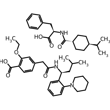 CC(C)[C@H]1CC[C@H](C(=O)N[C@H](Cc2ccccc2)C(=O)O)CC1.CCOc1cc(CC(=O)N[C@@H](CC(C)C)c2ccccc2N2CCCCC2)ccc1C(=O)O